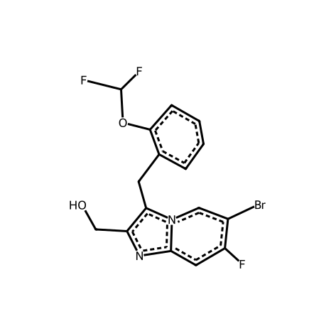 OCc1nc2cc(F)c(Br)cn2c1Cc1ccccc1OC(F)F